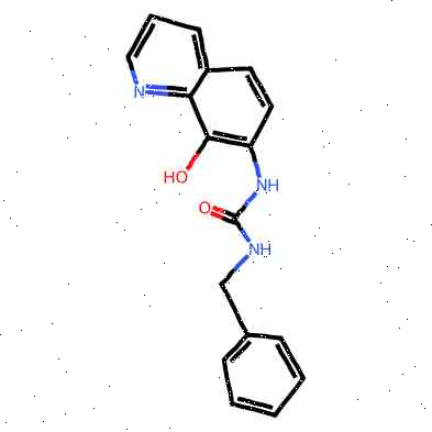 O=C(NCc1ccccc1)Nc1ccc2cccnc2c1O